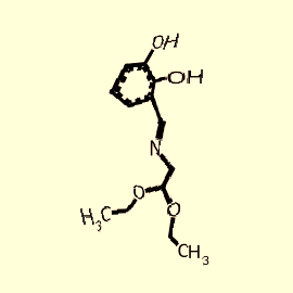 CCOC(CN=Cc1cccc(O)c1O)OCC